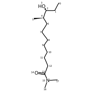 CC[C@H](O)[C@H](C)CCCCCCCC(=O)N(C)C